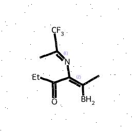 B/C(C)=C(/N=C(\C)C(F)(F)F)C(=O)CC